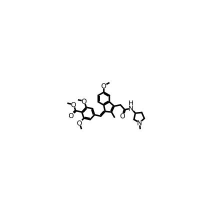 COC(=O)c1c(OC)cc(/C=C2/C(C)=C(CC(=O)NC3CCN(C)C3)c3cc(OC)ccc32)cc1OC